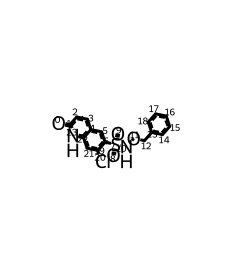 O=c1[c]cc2cc(S(=O)(=O)NOCc3ccccc3)c(Cl)cc2[nH]1